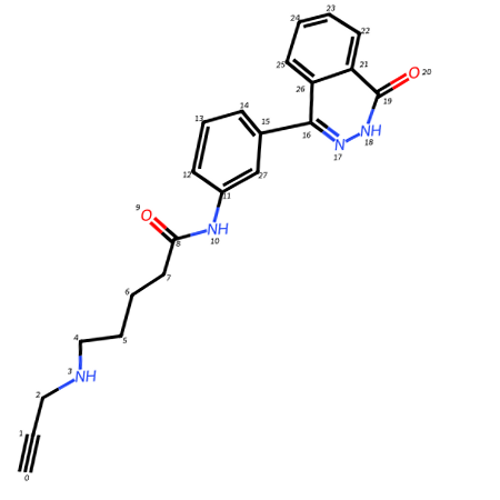 C#CCNCCCCC(=O)Nc1cccc(-c2n[nH]c(=O)c3ccccc23)c1